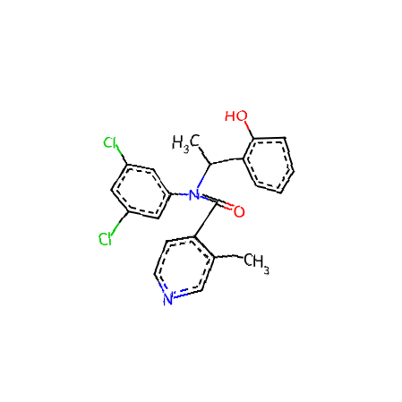 Cc1cnccc1C(=O)N(c1cc(Cl)cc(Cl)c1)C(C)c1ccccc1O